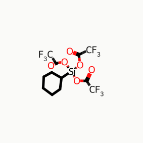 O=C(O[Si](OC(=O)C(F)(F)F)(OC(=O)C(F)(F)F)C1CCCCC1)C(F)(F)F